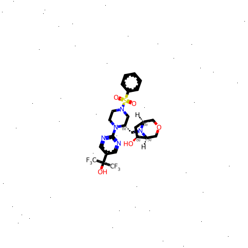 O=S(=O)(c1ccccc1)N1CCN(c2ncc(C(O)(C(F)(F)F)C(F)(F)F)cn2)[C@@H](CN2[C@@H]3COC[C@H]2[C@@H](O)C3)C1